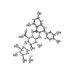 O=C(O)[C@H]1O[C@@H](Oc2c(-c3ccc(O)c(O)c3)oc3cc(O)cc(O)c3c2=O)[C@H](O)[C@@H](O)[C@@H]1O[C@@H]1O[C@H](CO)[C@@H](O)[C@H](O)[C@H]1O